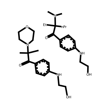 CC(C)(C(=O)c1ccc(NCCO)cc1)N1CCOCC1.CCCC(CC)(C(=O)c1ccc(NCCO)cc1)N(C)C